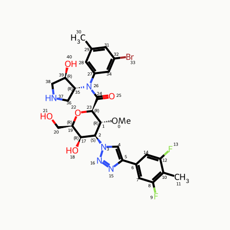 CO[C@@H]1[C@@H](n2cc(-c3cc(F)c(C)c(F)c3)nn2)[C@@H](O)[C@@H](CO)O[C@H]1C(=O)N(c1cc(C)cc(Br)c1)[C@@H]1CNC[C@H]1O